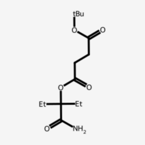 CCC(CC)(OC(=O)CCC(=O)OC(C)(C)C)C(N)=O